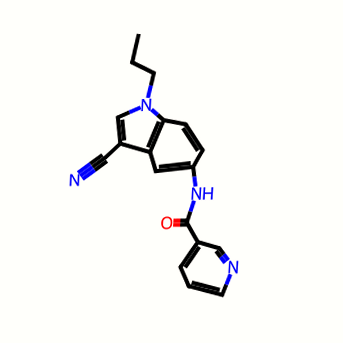 CCCn1cc(C#N)c2cc(NC(=O)c3cccnc3)ccc21